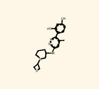 Cc1cc(NC2CCCN(C3COC3)C2)nnc1-c1ccc(C#N)cc1O